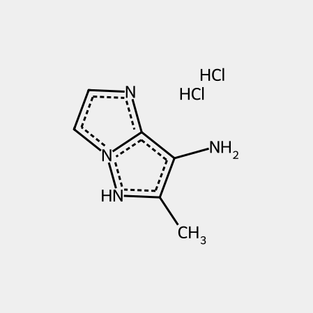 Cc1[nH]n2ccnc2c1N.Cl.Cl